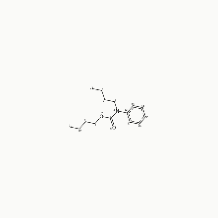 [CH2]CCCN(C(=O)OCCCC)c1ccccc1